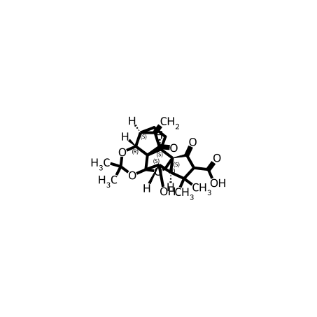 C=C1C(=O)C23[C@@H]4OC(C)(C)OC25OC[C@]2(C(=O)C(C(=O)O)C(C)(C)[C@H]2[C@@H]5O)[C@@H]3CC[C@@H]14